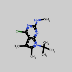 Cc1c(C)n(C(C)(C)C)c2nc(N[SiH3])nc(Cl)c12